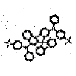 C[Si](C)(C)C1=CCC(N(c2ccccc2)c2cc3c(c4ccccc24)-c2ccc(N(c4ccccc4)c4ccc([Si](C)(C)C)cc4)cc2C32c3ccccc3-c3ccccc32)C=C1